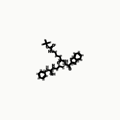 CC(C)(C)OC(=O)NCCCC(=O)N[C@@H](CCCNC(=N)Nc1ccccc1)C(=O)c1nc2ccccc2s1